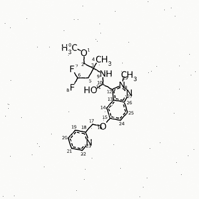 COCC(C)(CC(F)F)NC(O)c1c2cc(OCc3ccccn3)ccc2nn1C